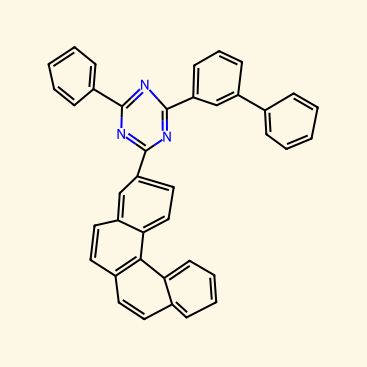 c1ccc(-c2cccc(-c3nc(-c4ccccc4)nc(-c4ccc5c(ccc6ccc7ccccc7c65)c4)n3)c2)cc1